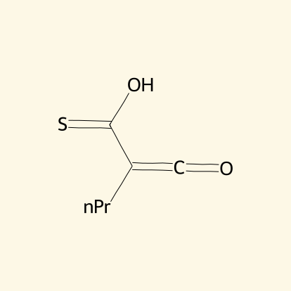 CCCC(=C=O)C(O)=S